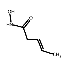 C/C=C/CC(=O)NO